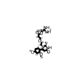 COc1ccc(-c2cc(=O)[nH]c(=S)n2CCOCCC(=O)ONC(=N)N)c(OC)c1